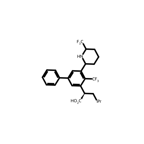 CC(C)C[C@@H](C(=O)O)c1cc(-c2ccccc2)cc(C2CCCC(C(F)(F)F)N2)c1C(F)(F)F